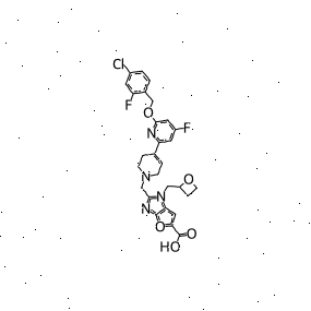 O=C(O)c1cc2c(nc(CN3CC=C(c4cc(F)cc(OCc5ccc(Cl)cc5F)n4)CC3)n2CC2CCO2)o1